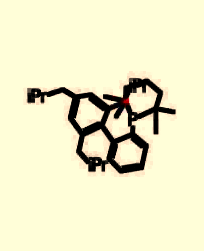 CC(C)Cc1cc(CC(C)C)c(-c2ccccc2P2C(C)(C)CCCC2(C)C)c(CC(C)C)c1